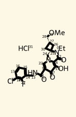 CCN1C(=O)c2c(O)c(=O)c(C(=O)NCc3cccc(Cl)c3F)cn2C[C@]12C[C@@H](COC)C2.Cl